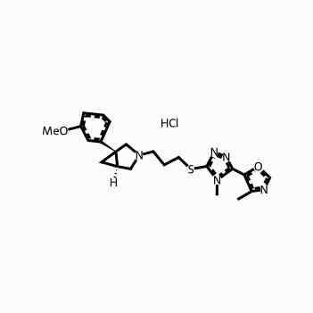 COc1cccc([C@]23C[C@@H]2CN(CCCSc2nnc(-c4ocnc4C)n2C)C3)c1.Cl